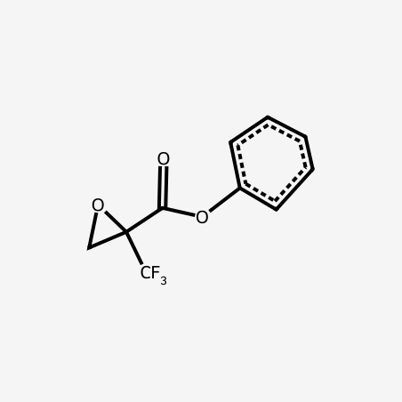 O=C(Oc1ccccc1)C1(C(F)(F)F)CO1